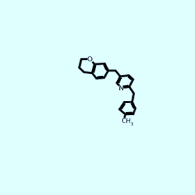 Cc1ccc(Cc2ccc(Cc3ccc4c(c3)OCCC4)cn2)cc1